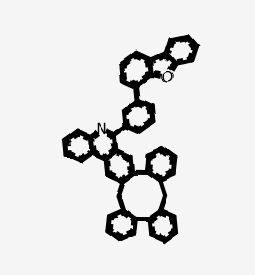 c1cc(-c2nc3ccccc3c3cc4c(cc23)-c2ccccc2Cc2ccccc2-c2ccccc2C4)cc(-c2cccc3c2oc2ccccc23)c1